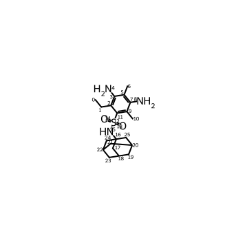 CCc1c(N)c(C)c(N)c(C)c1S(=O)(=O)NC12CC3CC(CC(C3)C1)C2